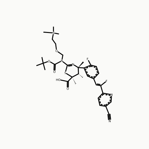 C[C@@H]1[C@@](C)(C(=O)O)SC(N(COCC[Si](C)(C)C)C(=O)OC(C)(C)C)=N[C@]1(C)c1cc(/C=C(\F)c2ccc(C#N)cn2)ccc1F